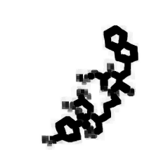 COC(=O)NC(Cc1ccc2ccccc2c1)C(=O)NCCCC(CO)N(CC(C)C)S(=O)(=O)c1ccc(N)cc1